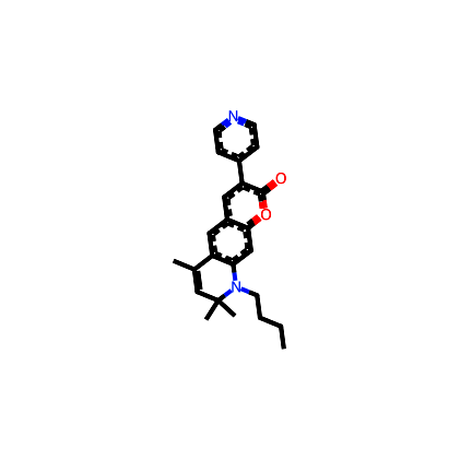 CCCCN1c2cc3oc(=O)c(-c4ccncc4)cc3cc2C(C)=CC1(C)C